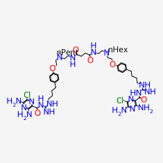 CCCCCCN(CCNC(=O)CCC(=O)NCCN(CCCCC)CCOc1ccc(CCCCNC(=N)NC(=O)c2nc(Cl)c(N)nc2N)cc1)CCOc1ccc(CCCCNC(=N)NC(=O)c2nc(Cl)c(N)nc2N)cc1